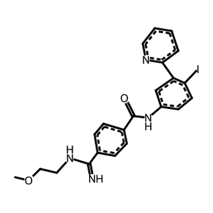 COCCNC(=N)c1ccc(C(=O)Nc2ccc(I)c(-c3ccccn3)c2)cc1